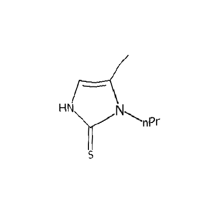 CCCn1c(C)c[nH]c1=S